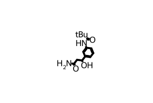 CC(C)(C)C(=O)Nc1cccc(C(O)CC(N)=O)c1